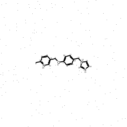 Cc1ccc(COc2ccc(Cn3ccnc3)cc2)cn1